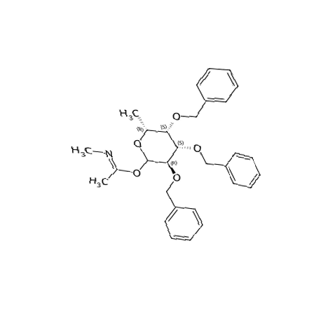 CN=C(C)OC1O[C@H](C)[C@H](OCc2ccccc2)[C@H](OCc2ccccc2)[C@H]1OCc1ccccc1